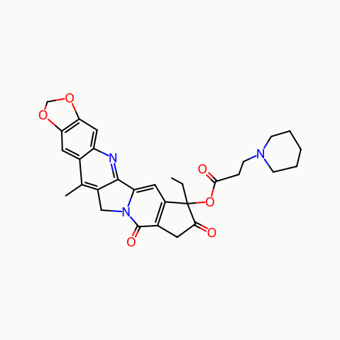 CCC1(OC(=O)CCN2CCCCC2)C(=O)Cc2c1cc1n(c2=O)Cc2c-1nc1cc3c(cc1c2C)OCO3